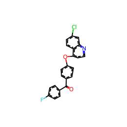 O=C(c1ccc(F)cc1)c1ccc(Oc2ccnc3cc(Cl)ccc23)cc1